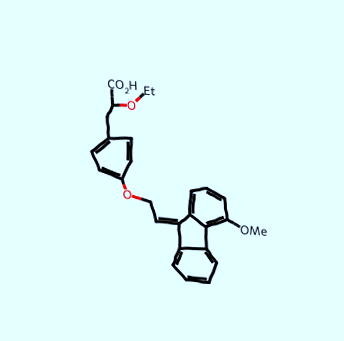 CCOC(Cc1ccc(OCC=C2c3ccccc3-c3c(OC)cccc32)cc1)C(=O)O